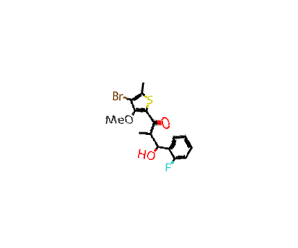 COc1c(C(=O)C(C)C(O)c2ccccc2F)sc(C)c1Br